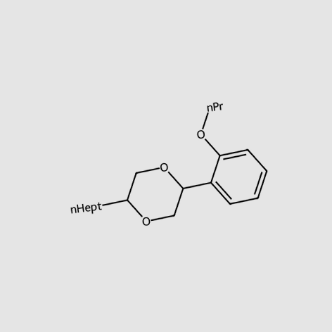 CCCCCCCC1COC(c2ccccc2OCCC)CO1